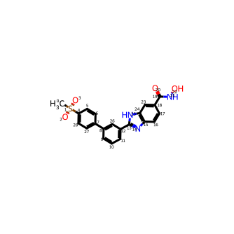 CS(=O)(=O)c1ccc(-c2cccc(-c3nc4ccc(C(=O)NO)cc4[nH]3)c2)cc1